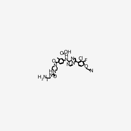 Cc1cc(Nc2nccn3c(-c4ccc(OCC#N)c(F)c4Cl)cnc23)ccc1C(=O)N1CCN(C(=O)NC[C@@H](C)N)CC1.O=CO